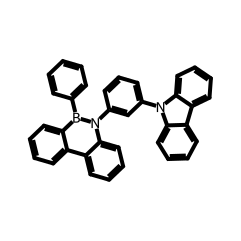 c1ccc(B2c3ccccc3-c3ccccc3N2c2cccc(-n3c4ccccc4c4ccccc43)c2)cc1